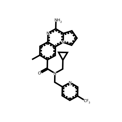 Cc1cc2nc(N)c3cccn3c2cc1C(=O)N(Cc1ccc(C(F)(F)F)cn1)CC1CC1